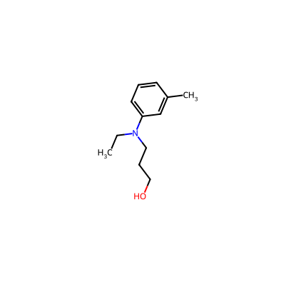 CCN(CCCO)c1cccc(C)c1